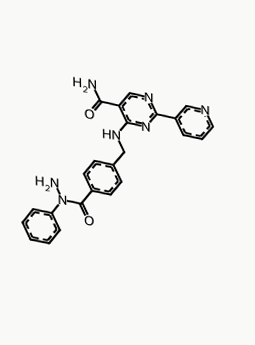 NC(=O)c1cnc(-c2cccnc2)nc1NCc1ccc(C(=O)N(N)c2ccccc2)cc1